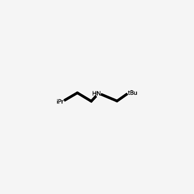 CC(C)CCNCC(C)(C)C